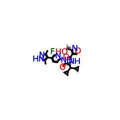 Cc1n[nH]c(C)c1-c1ccc(NC(=O)[C@@H](NC(=O)c2conc2[C@@H](C)O)C(C2CC2)C2CC2)nc1F